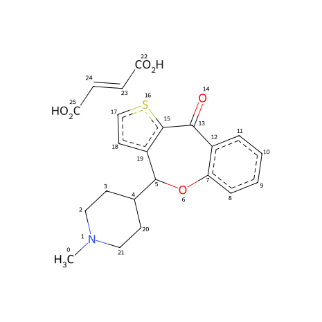 CN1CCC(C2Oc3ccccc3C(=O)c3sccc32)CC1.O=C(O)C=CC(=O)O